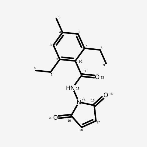 CCc1cc(C)cc(CC)c1C(=O)NN1C(=O)C=CC1=O